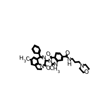 Cc1cc2c3c(c1)C(c1ccccc1)=NC(n1c(C)nc4cc(C(=O)NCCCN5CCOCC5)ccc4c1=O)C(=O)N3CC2